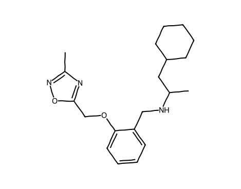 Cc1noc(COc2ccccc2CNC(C)CC2CCCCC2)n1